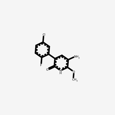 COc1[nH]c(=O)c(-c2cc(Cl)ccc2F)cc1N